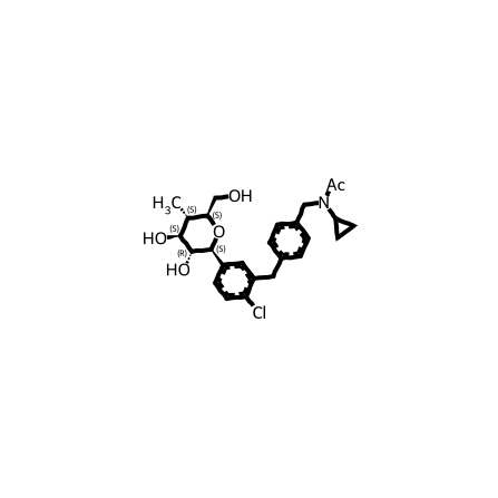 CC(=O)N(Cc1ccc(Cc2cc([C@@H]3O[C@H](CO)[C@@H](C)[C@H](O)[C@H]3O)ccc2Cl)cc1)C1CC1